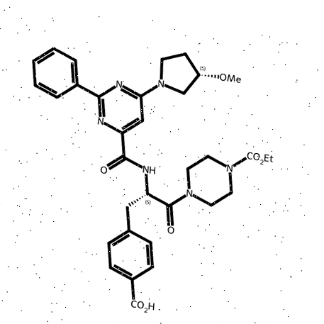 CCOC(=O)N1CCN(C(=O)[C@H](Cc2ccc(C(=O)O)cc2)NC(=O)c2cc(N3CC[C@H](OC)C3)nc(-c3ccccc3)n2)CC1